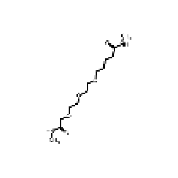 CNC(=O)CCCCOCCOCCOCC(=O)NC